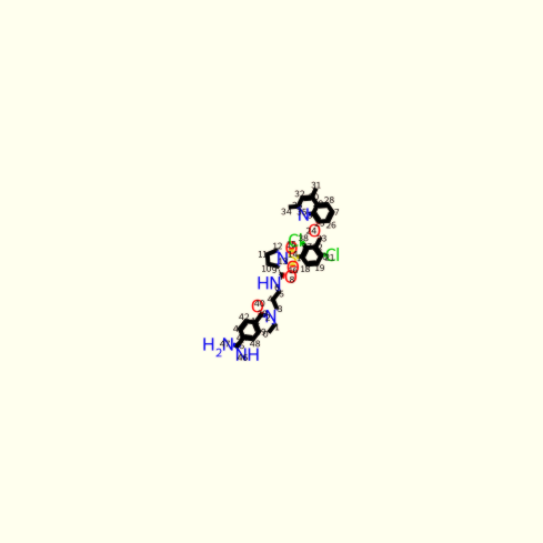 CCN(CCCNC(=O)[C@@H]1CCCN1S(=O)(=O)c1ccc(Cl)c(COc2cccc3c(C)cc(C)nc23)c1Cl)C(=O)c1ccc(C(=N)N)cc1